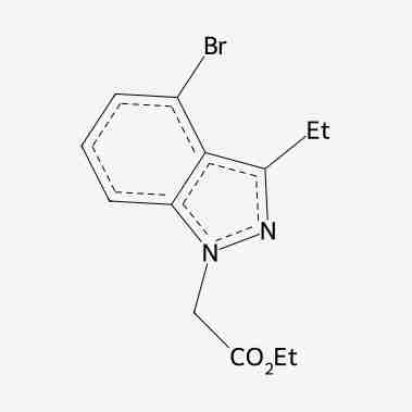 CCOC(=O)Cn1nc(CC)c2c(Br)cccc21